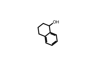 O[C]1CCCc2ccccc21